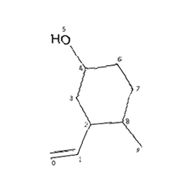 C=CC1CC(O)CCC1C